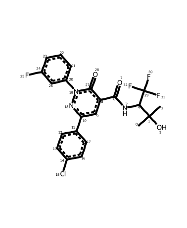 CC(C)(O)C(NC(=O)c1cc(-c2ccc(Cl)cc2)nn(-c2cccc(F)c2)c1=O)C(F)(F)F